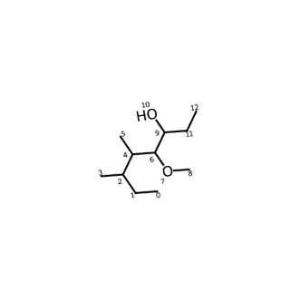 CCC(C)C(C)C(OC)C(O)CC